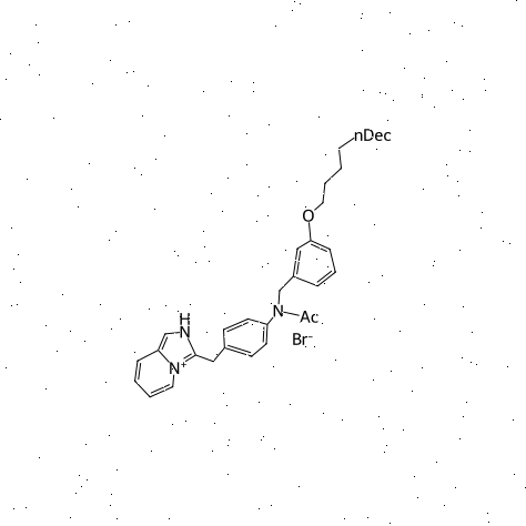 CCCCCCCCCCCCCCOc1cccc(CN(C(C)=O)c2ccc(Cc3[nH]cc4cccc[n+]34)cc2)c1.[Br-]